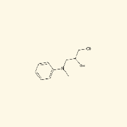 CN(CC(O)CO)c1ccccc1